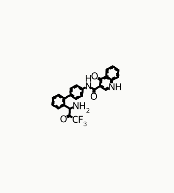 NC(C(=O)C(F)(F)F)c1ccccc1-c1ccc(NC(=O)c2c[nH]c3ccccc3c2=O)cc1